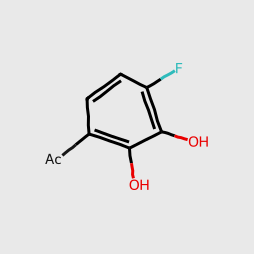 CC(=O)c1ccc(F)c(O)c1O